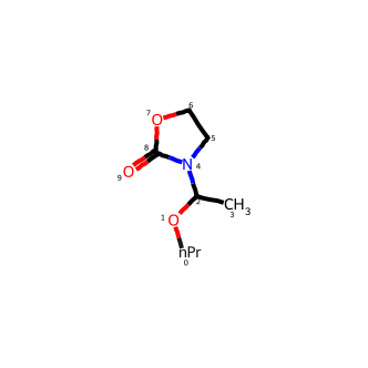 CCCOC(C)N1CCOC1=O